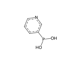 OP(O)c1cccnc1